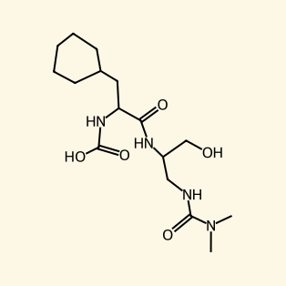 CN(C)C(=O)NCC(CO)NC(=O)C(CC1CCCCC1)NC(=O)O